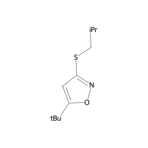 CC(C)CSc1cc(C(C)(C)C)on1